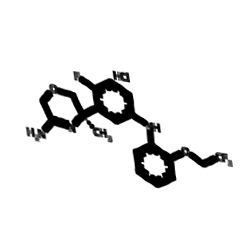 C[C@@]1(c2cc(Nc3ccccc3OCC(F)(F)F)ccc2F)COCC(N)=N1.Cl